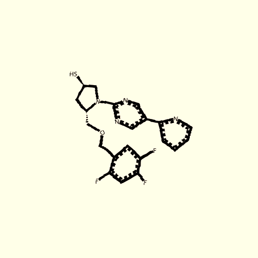 Fc1cc(F)c(COC[C@@H]2C[C@@H](S)CN2c2ncc(-c3ccccn3)cn2)cc1F